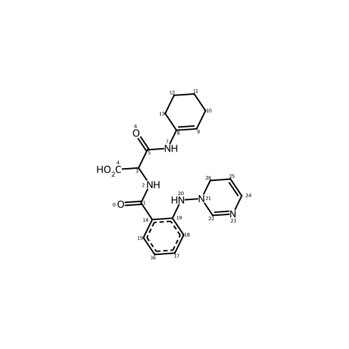 O=C(NC(C(=O)O)C(=O)NC1=CCCCC1)c1ccccc1NN1C=NC=CC1